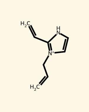 C=CC[n+]1cc[nH]c1C=C